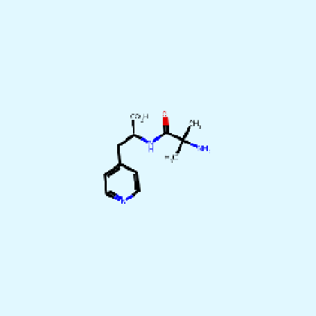 CC(C)(N)C(=O)N[C@@H](Cc1ccncc1)C(=O)O